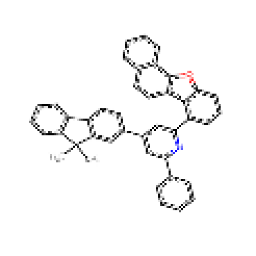 CC1(C)c2ccccc2-c2ccc(-c3cc(-c4ccccc4)nc(-c4cccc5oc6c7ccccc7ccc6c45)c3)cc21